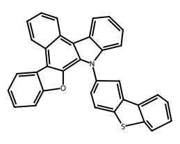 c1ccc2c(c1)oc1c2c2ccccc2c2c3ccccc3n(-c3ccc4sc5ccccc5c4c3)c12